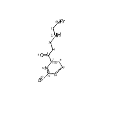 CC(C)CNCCC(=O)c1cccc(Br)n1